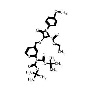 CCOC(=O)[C@@H]1[C@@H](SCc2ccnc(N(C(=O)OC(C)(C)C)C(=O)OC(C)(C)C)c2)C(=O)N1c1ccc(OC)cc1